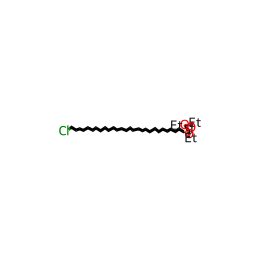 CCO[Si](CCCCCCCCCCCCCCCCCCCCCCCCCCCCCl)(OCC)OCC